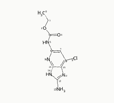 CCOC(=O)Nc1cc(Cl)c2nc(N)[nH]c2n1